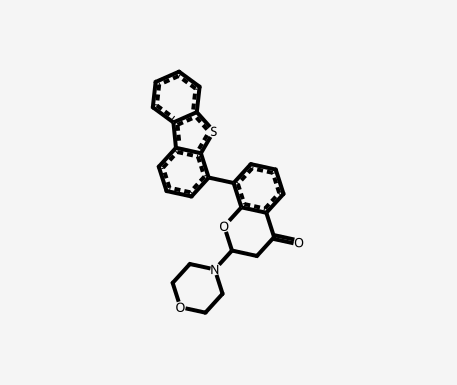 O=C1CC(N2CCOCC2)Oc2c1cccc2-c1cccc2c1sc1ccccc12